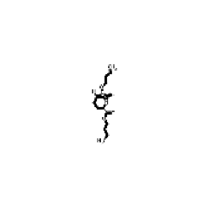 CCCCOC(=O)[C@@H]1CC[C@H]2CN1C(=O)N2OCCCC